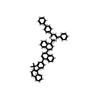 CC1(C)c2cc(-c3ccc(-c4ccc(-c5nc(-c6ccccc6)cc(-c6ccc(-c7ccccc7)cc6)n5)c5ccccc45)c4ccccc34)ccc2-c2c1ccc1ccccc21